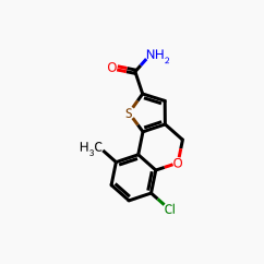 Cc1ccc(Cl)c2c1-c1sc(C(N)=O)cc1CO2